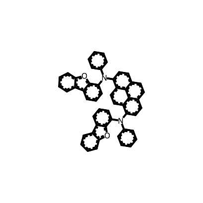 c1ccc(N(c2ccc3ccc4ccc(N(c5ccccc5)c5cccc6c5oc5ccccc56)c5ccc2c3c45)c2cccc3c2oc2ccccc23)cc1